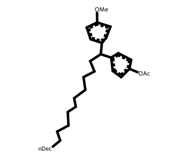 CCCCCCCCCCCCCCCCCCCCC(c1ccc(OC)cc1)c1ccc(OC(C)=O)cc1